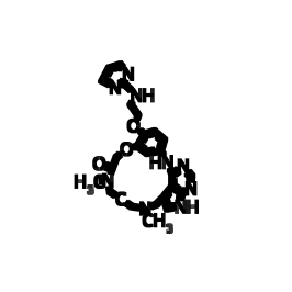 CN1CCCN(C)C(=O)COc2cc(ccc2OCCNc2ncccn2)Nc2ncnc3[nH]cc(c23)C1